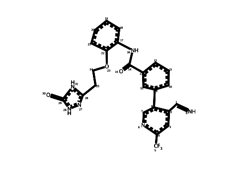 N=Cc1cc(C(F)(F)F)ncc1-c1cccc(C(=O)Nc2ccccc2OCCc2n[nH]c(=O)[nH]2)c1